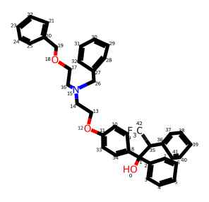 OC(c1ccccc1)(c1ccc(OCCN(CCOCc2ccccc2)Cc2ccccc2)cc1)C(c1ccccc1)C(F)(F)F